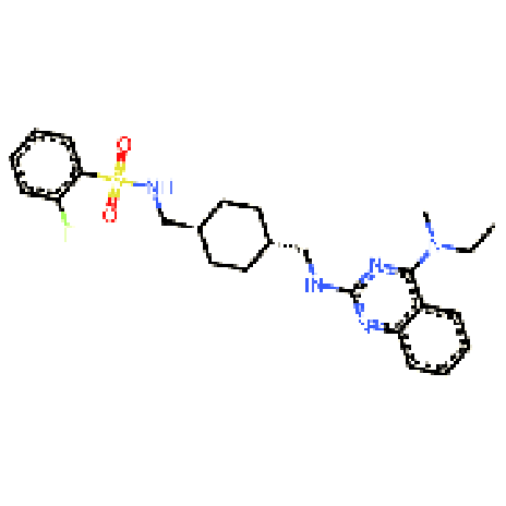 CCN(C)c1nc(NC[C@H]2CC[C@H](CNS(=O)(=O)c3ccccc3F)CC2)nc2ccccc12